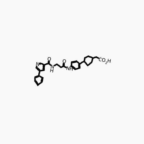 O=C(O)CC1CCC(c2ccc(NC(=O)CCNC(=O)c3cncc(-c4ccccc4)c3)cc2)CC1